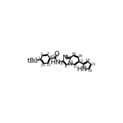 CC(C)(C)c1ccc(C(=O)Nc2cn3cc(-c4ccc[nH]4)ccc3n2)cc1